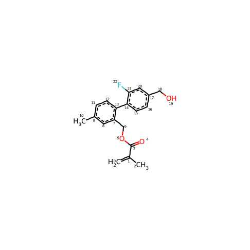 C=C(C)C(=O)OCc1cc(C)ccc1-c1ccc(CO)cc1F